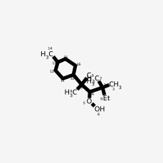 CCC(C)(C)C(OO)C(C)(C)C1CCC(C)CC1